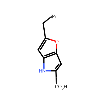 CC(C)Cc1cc2[nH]c(C(=O)O)cc2o1